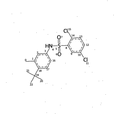 Cc1cc(NS(=O)(=O)c2cc(Cl)ccc2Cl)ccc1C(C)(C)C